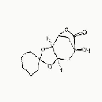 O=C1OC2C[C@@]1(O)C[C@H]1OC3(CCCCC3)O[C@@H]21